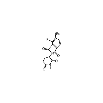 CC(C)(C)c1ccc2c(c1F)C(=O)N(C1CCC(=O)NC1=O)C2=O